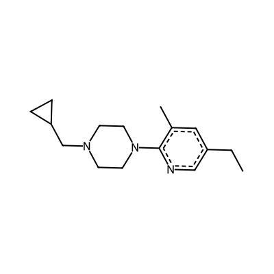 CCc1cnc(N2CCN(CC3CC3)CC2)c(C)c1